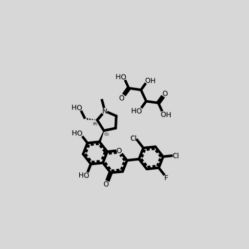 CN1CC[C@@H](c2c(O)cc(O)c3c(=O)cc(-c4cc(F)c(Cl)cc4Cl)oc23)[C@@H]1CO.O=C(O)C(O)C(O)C(=O)O